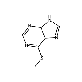 CSC1=NC=NC2NC=NC12